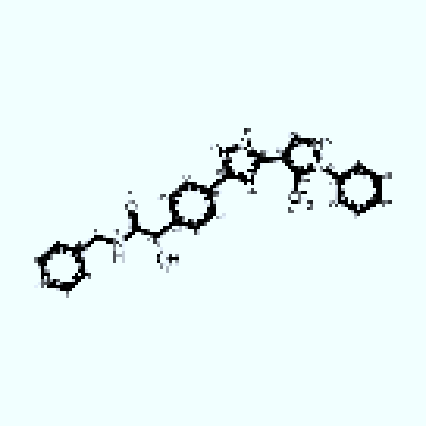 O=C(NCc1ccncc1)[C@@H](O)c1ccc(-c2noc(-c3cnn(-c4ccccc4)c3C(F)(F)F)n2)cc1